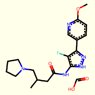 COc1ccc(-c2n[nH]c(NC(=O)CC(C)CN3CCCC3)c2F)cn1.O=CO